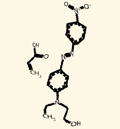 C=CC(=O)O.CCN(CCO)c1ccc(/N=N/c2ccc([N+](=O)[O-])cc2)cc1